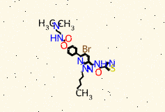 CCCCCCn1nc(NC(=O)c2cnsc2)c2cc(Br)c(-c3ccc(OC(=O)NCCN(C)C)cc3)nc21